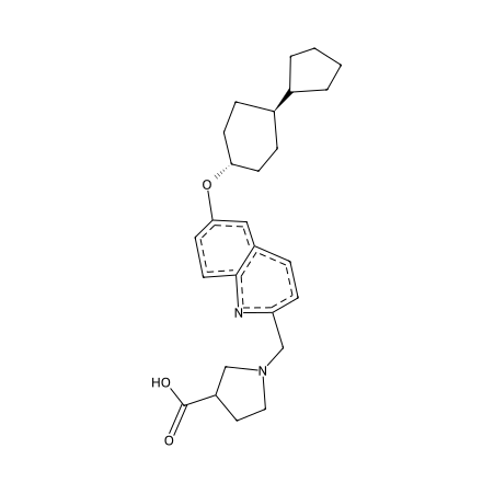 O=C(O)C1CCN(Cc2ccc3cc(O[C@H]4CC[C@H](C5CCCC5)CC4)ccc3n2)C1